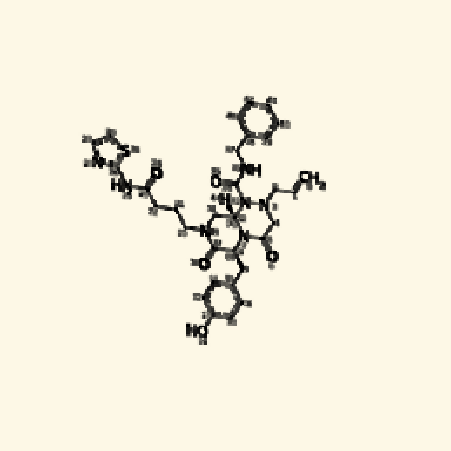 C=CCN1CC(=O)N2[C@@H](Cc3ccc(O)cc3)C(=O)N(CCCC(=O)Nc3nccs3)C[C@@H]2N1C(=O)NCc1ccccc1